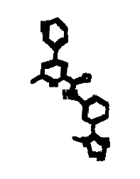 Cc1cc(-c2cccnc2)cc(C(=O)NC2=CC(c3nncn3C)=CCC2)n1